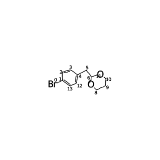 Brc1ccc(CC2OCCCO2)cc1